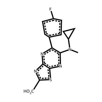 CN(c1nc2sc(C(=O)O)nc2nc1-c1ccc(F)cc1)C1CC1